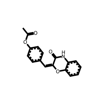 CC(=O)Oc1ccc(C=C2Oc3ccccc3NC2=O)cc1